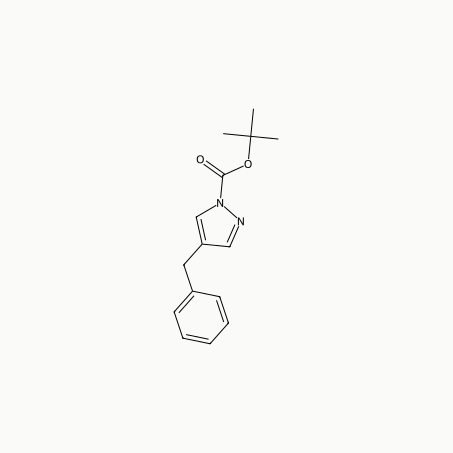 CC(C)(C)OC(=O)n1cc(Cc2ccccc2)cn1